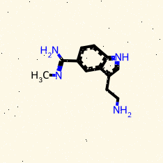 CN=C(N)c1ccc2[nH]cc(CCN)c2c1